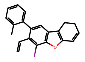 C=Cc1c(-c2ccccc2C)cc2c3c(oc2c1I)C=CCC3